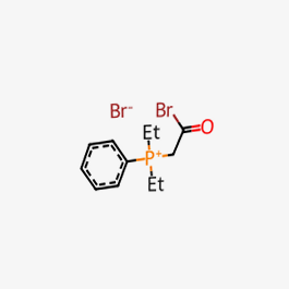 CC[P+](CC)(CC(=O)Br)c1ccccc1.[Br-]